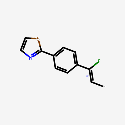 [CH2]/C=C(\F)c1ccc(-c2nccs2)cc1